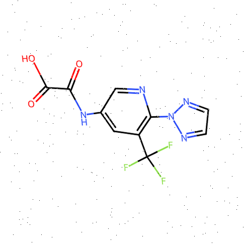 O=C(O)C(=O)Nc1cnc(-n2nccn2)c(C(F)(F)F)c1